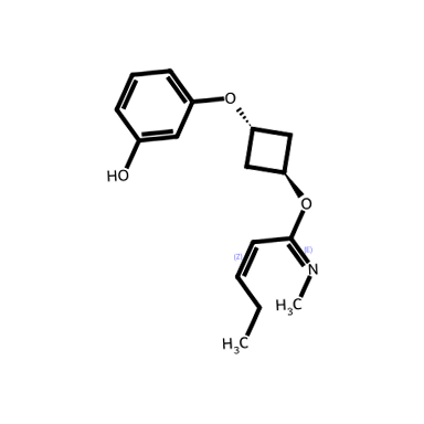 CC/C=C\C(=N/C)O[C@H]1C[C@H](Oc2cccc(O)c2)C1